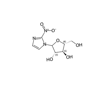 O=[N+]([O-])c1nccn1C1O[C@H](CO)[C@@H](O)[C@@H]1O